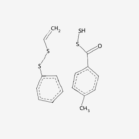 C=CSSc1ccccc1.Cc1ccc(C(=O)SS)cc1